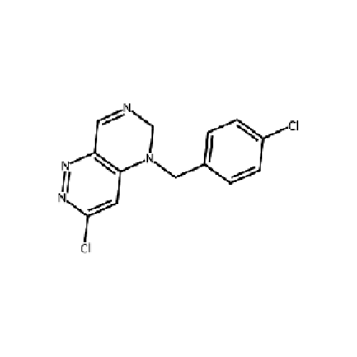 Clc1ccc(CN2CN=Cc3nnc(Cl)cc32)cc1